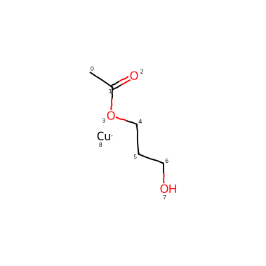 CC(=O)OCCCO.[Cu]